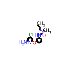 C=CCCN(C)C(=O)Nc1cccc(Oc2cc(Cl)cc(N)n2)c1